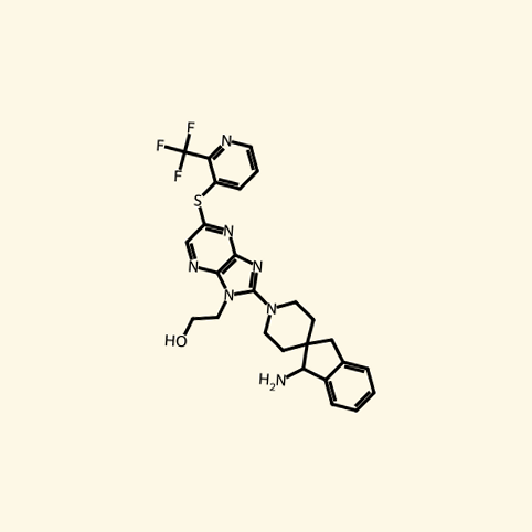 NC1c2ccccc2CC12CCN(c1nc3nc(Sc4cccnc4C(F)(F)F)cnc3n1CCO)CC2